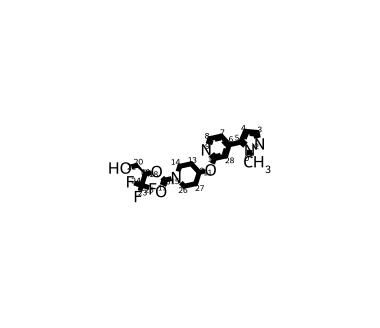 Cn1nccc1-c1ccnc(OC2CCN(C(=O)O[C@H](CO)C(F)(F)F)CC2)c1